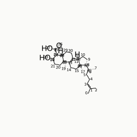 CC(C)=CCC[C@@H](C)[C@H]1CC[C@H]2C3=C(CC[C@]12C)[C@@]1(C)CC[C@H](O)[C@@H](C(=O)O)[C@@H]1CC3